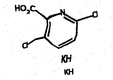 O=C(O)c1nc(Cl)ccc1Cl.[KH].[KH]